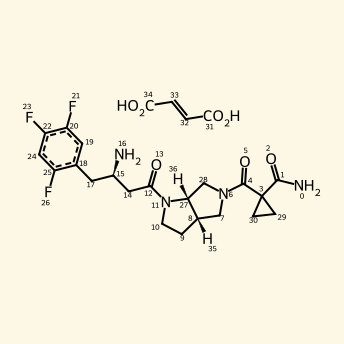 NC(=O)C1(C(=O)N2C[C@@H]3CCN(C(=O)C[C@H](N)Cc4cc(F)c(F)cc4F)[C@@H]3C2)CC1.O=C(O)C=CC(=O)O